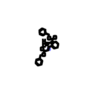 CCC[C@]1(C(=O)OCc2ccccc2)CCCC=C1/C=C/C(=O)OCc1ccccc1